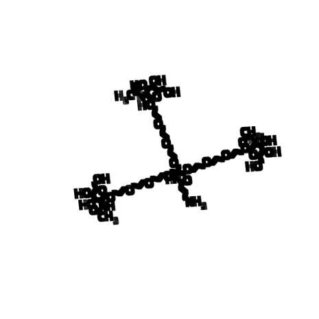 CC(=O)NC1C(OCCCOCCCOCCCOCC(COCCCOCCCOCCCOC2OC(CO)C(O)C(O)C2NC(C)=O)(COCCCOCCCOCCCOC2OC(CO)C(O)C(O)C2NC(C)=O)NC(=O)CCCN)OC(CO)C(O)C1O